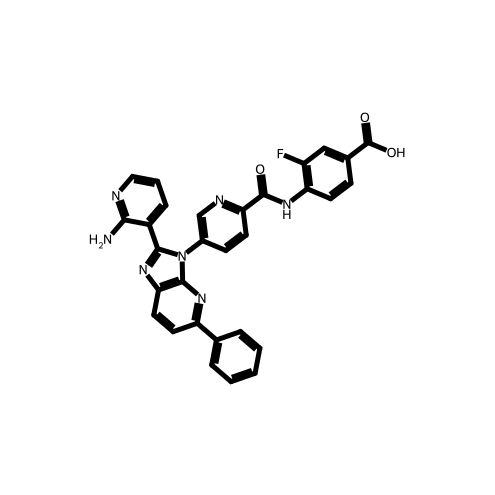 Nc1ncccc1-c1nc2ccc(-c3ccccc3)nc2n1-c1ccc(C(=O)Nc2ccc(C(=O)O)cc2F)nc1